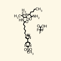 CCCCC(NC(=O)[C@@H](NC(=O)CCCCCn1cc(-c2cnc(S(C)(=O)=O)nc2)nn1)C(C)C)C(N)=O.O=C(O)C(F)(F)F